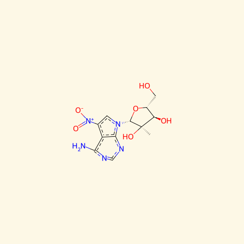 C[C@@]1(O)[C@H](O)[C@@H](CO)O[C@H]1n1cc([N+](=O)[O-])c2c(N)ncnc21